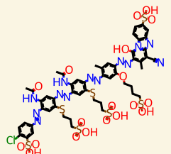 CC(=O)Nc1cc(N=Nc2cc(SCCCS(=O)(=O)O)c(N=Nc3cc(OCCCCS(=O)(=O)O)c(N=Nc4c(C)c(C#N)c5nc6cc(S(=O)(=O)O)ccc6n5c4O)cc3C)cc2NC(C)=O)c(SCCCS(=O)(=O)O)cc1N=Nc1ccc(Cl)c(S(=O)(=O)O)c1